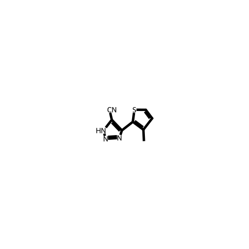 Cc1ccsc1-c1nn[nH]c1C#N